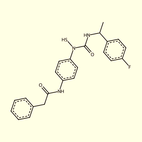 CC(NC(=O)N(S)c1ccc(NC(=O)Cc2ccccc2)cc1)c1ccc(F)cc1